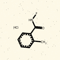 Cc1ccccc1C(=O)NF.Cl